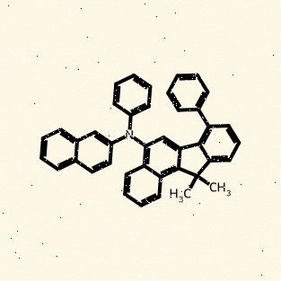 CC1(C)c2cccc(-c3ccccc3)c2-c2cc(N(c3ccccc3)c3ccc4ccccc4c3)c3ccccc3c21